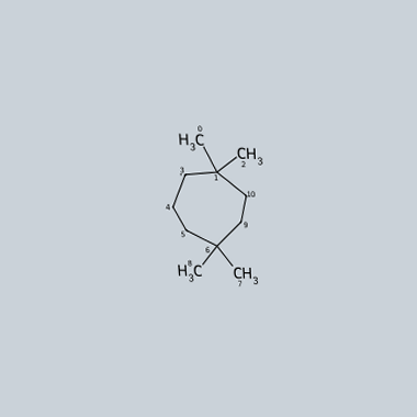 CC1(C)[CH]CCC(C)(C)CC1